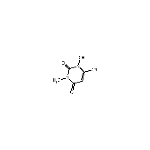 Cn1c(C#N)cc(=O)n(C)c1=O